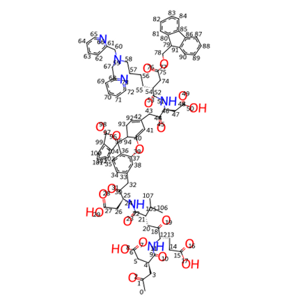 CC(=O)C[C@@H](CC(=O)O)C(=O)N[C@@H](CCC(=O)O)C(=O)C[C@H](C(=O)N[C@@H](CC(=O)O)C(=O)Cc1ccc2c(c1)OC1=CC(CC(=O)[C@H](CC(=O)O)NC(=O)[C@H](CCCCN(Cc3ccccn3)Cc3ccccn3)CC(=O)OCC3c4ccccc4-c4ccccc43)=CCC1C21OC(=O)c2ccccc21)C(C)C